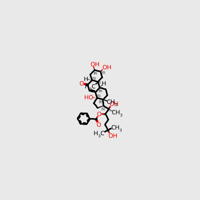 CC(C)(O)CCC(OC(=O)c1ccccc1)[C@](C)(O)[C@H]1CC[C@@]2(O)C3=CC(=O)[C@H]4C[C@@H](O)[C@@H](O)C[C@]4(C)[C@H]3CC[C@]12C